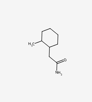 CC1CCCCC1CC(N)=O